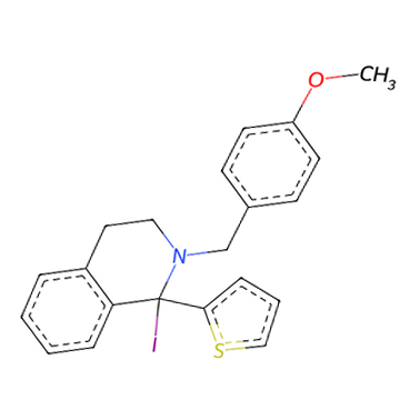 COc1ccc(CN2CCc3ccccc3C2(I)c2cccs2)cc1